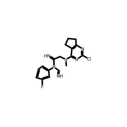 CN(CC(=N)N(C=N)c1cccc(F)c1)c1nc(Cl)nc2c1CCC2